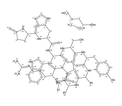 CC(=O)O.CCCCCCCCCCCCOS(=O)(=O)O.CCNC(=O)C1CCCN1C(=O)C(CCCN=C(N)N)NC(=O)C(NC(=O)C(NC(=O)C(Cc1ccc(O)cc1)NC(=O)C(CO)NC(=O)C(Cc1c[nH]c2ccccc12)NC(=O)C(Cc1cnc[nH]1)NC(=O)C1CCC(=O)N1)C(C)C)C(C)C